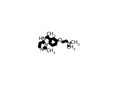 Cc1nccc(NC(C)c2cccc(OCCN(C)C)c2)n1